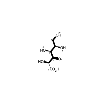 O=C(O)[C@H](O)C(=O)[C@@H](O)[C@H](O)CO